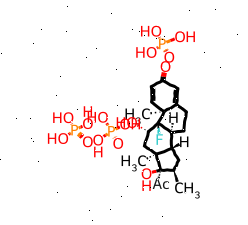 CC(=O)[C@@]1(O)[C@H](C)C[C@H]2[C@@H]3CCC4=CC(=O)C=C[C@]4(C)[C@@]3(F)[C@@H](O)C[C@@]21C.O=P(O)(O)O.O=P(O)(O)O.O=P(O)(O)O